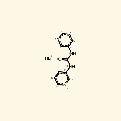 Br.O=C(Nc1cccnc1)Nc1cccnc1